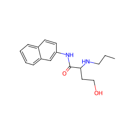 CCCNC(CCO)C(=O)Nc1ccc2ccccc2c1